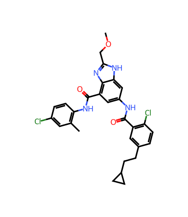 COCc1nc2c(C(=O)Nc3ccc(Cl)cc3C)cc(NC(=O)c3cc(CCC4CC4)ccc3Cl)cc2[nH]1